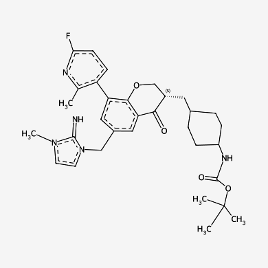 Cc1nc(F)ccc1-c1cc(Cn2ccn(C)c2=N)cc2c1OC[C@H](CC1CCC(NC(=O)OC(C)(C)C)CC1)C2=O